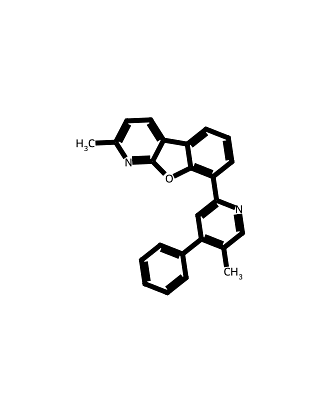 Cc1ccc2c(n1)oc1c(-c3cc(-c4ccccc4)c(C)cn3)cccc12